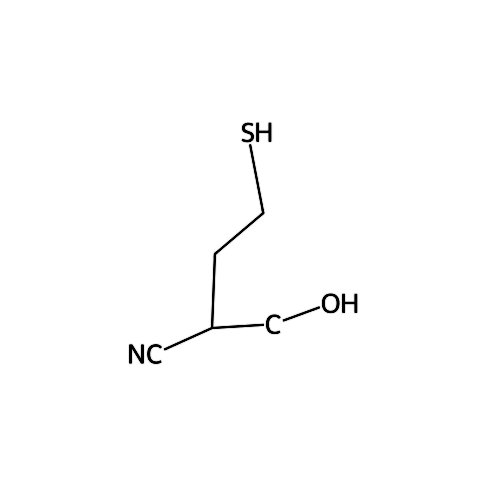 N#CC(CO)CCS